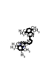 C=C(/N=C1\C(=N/N)C(C)(C)CCC1(C)C)c1cccc(-c2nnc3c(n2)C(C)(C)CCC3(C)C)n1